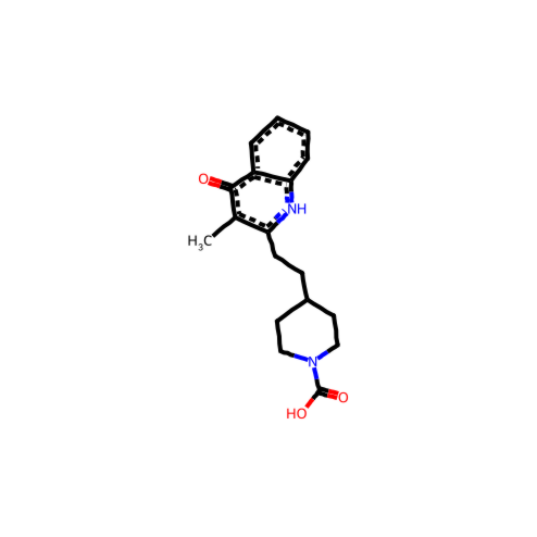 Cc1c(CCC2CCN(C(=O)O)CC2)[nH]c2ccccc2c1=O